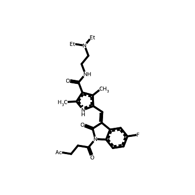 CCN(CC)CCNC(=O)c1c(C)[nH]c(/C=C2\C(=O)N(C(=O)CCC(C)=O)c3ccc(F)cc32)c1C